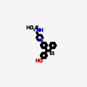 CC/C(=C(\c1ccc(O)cc1)c1ccc(N2CCC(CNC(=O)O)CC2)cc1)c1ccccc1